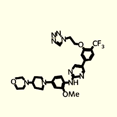 COc1cc(N2CCC(N3CCOCC3)CC2)ccc1Nc1ncc(-c2ccc(C(F)(F)F)c(OCCn3cnnn3)c2)cn1